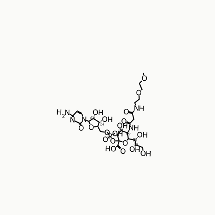 COCCOCCNC(=O)CC(=O)N[C@H]1C([C@H](O)[C@H](O)CO)OC(OP(=O)(O)OCC2OC(n3ccc(N)nc3=O)[C@H](O)[C@@H]2O)(C(=O)O)C[C@H]1O